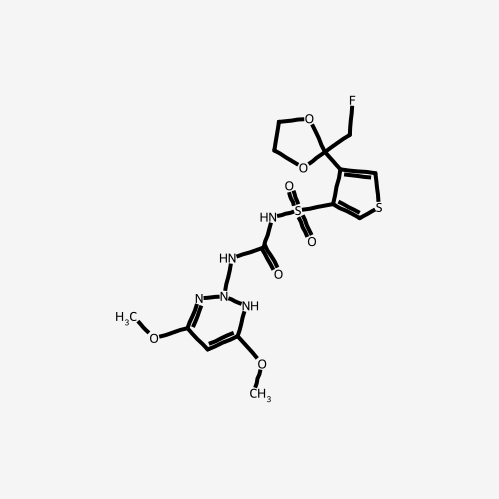 COC1=CC(OC)=NN(NC(=O)NS(=O)(=O)c2cscc2C2(CF)OCCO2)N1